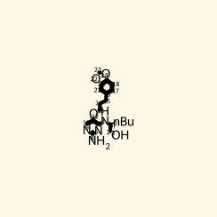 CCCC[C@@H](CO)Nc1nc(N)ncc1OCCCc1ccc2c(c1)OCO2